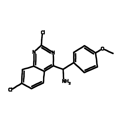 COc1ccc(C(N)c2nc(Cl)nc3cc(Cl)ccc23)cc1